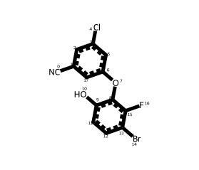 N#Cc1cc(Cl)cc(Oc2c(O)ccc(Br)c2F)c1